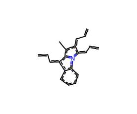 C=C/C=c1/c(C)c2/c(=C\C=C)c3ccccc3n2/c1=C/C=C